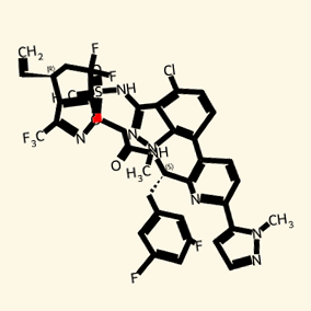 C=C[C@H]1CC(F)(F)c2c1c(C(F)(F)F)nn2CC(=O)N[C@@H](Cc1cc(F)cc(F)c1)c1nc(-c2ccnn2C)ccc1-c1ccc(Cl)c2c(NS(C)(=O)=O)nn(C)c12